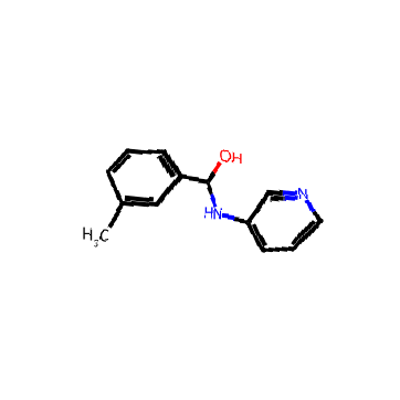 Cc1cccc(C(O)Nc2cccnc2)c1